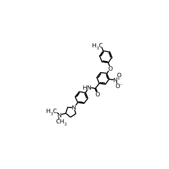 Cc1ccc(Oc2ccc(C(=O)Nc3ccc(N4CCC(N(C)C)C4)cc3)cc2[N+](=O)[O-])cc1